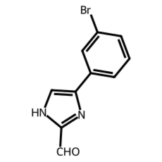 O=Cc1nc(-c2cccc(Br)c2)c[nH]1